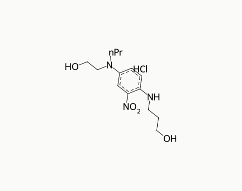 CCCN(CCO)c1ccc(NCCCO)c([N+](=O)[O-])c1.Cl